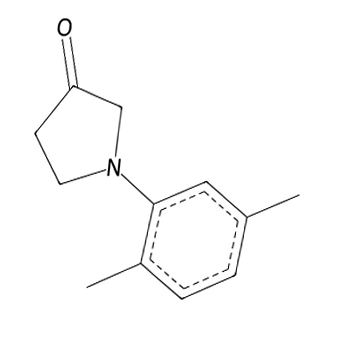 Cc1ccc(C)c(N2CCC(=O)C2)c1